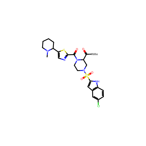 CNC(=O)C1CN(S(=O)(=O)c2cc3cc(Cl)ccc3[nH]2)CCN1C(=O)c1ncc(C2CCCCN2C)s1